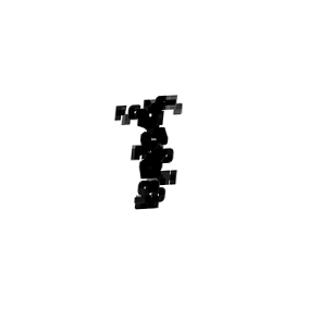 Cc1nc(N2CCN(C(=O)[C@@]3(C(C)C)CC[C@@H](NC(=O)OC(C)(C)C)C3)CC2)cc(C(F)(F)F)n1